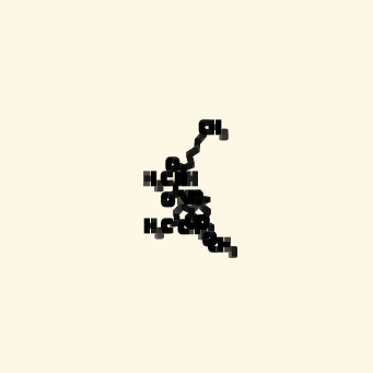 CCCCCCC(=O)N[C@@H](C)C(=O)NC(CC(C)C)C(=O)[C@@]1(COCOC)CO1